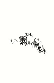 CCCCCC(C(=O)NCNC(=O)c1ccc(-c2ccc(C(=O)NC(CC(=O)OC(C)(C)C)C(=O)O)c(OCC)c2)o1)[C@@H](CC)N(C=O)OCc1ccc(OC)cc1